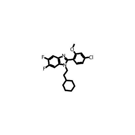 COc1cc(Cl)ccc1-c1nc2cc(F)c(F)cc2n1CCC1CCCCC1